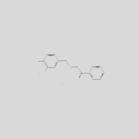 Cl.O=C(CNCc1ccc(O)c(O)c1)c1ccccc1